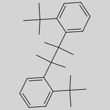 CC(C)(C)c1ccccc1C(C)(C)C(C)(C)c1ccccc1C(C)(C)C